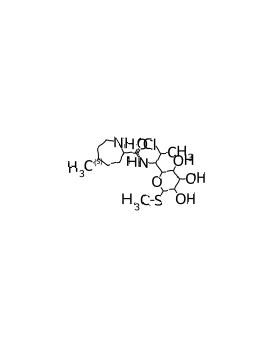 CSC1OC(C(NC(=O)C2CC[C@H](C)CCN2)C(C)Cl)C(O)C(O)C1O